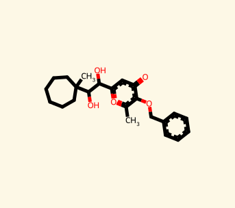 Cc1oc(C(O)C(O)C2(C)CCCCCC2)cc(=O)c1OCc1ccccc1